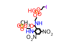 CS(=O)(=O)OCCNc1c(C(=O)NCCOP(=O)(O)OCCI)cc([N+](=O)[O-])cc1[N+](=O)[O-]